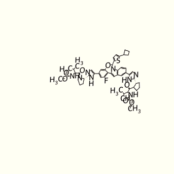 COC(=O)NC(C(=O)N1CCC[C@H]1c1ncc(-c2cc(F)c3c(c2)OC(c2ccc(C4CCC4)s2)n2c-3cc3cc(-c4cnc([C@@H]5CCCC5C(=O)[C@@H](NC(=O)OC)C(C)C)[nH]4)ccc32)[nH]1)C(C)C